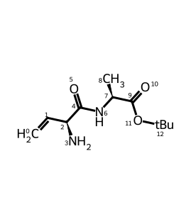 C=C[C@H](N)C(=O)N[C@@H](C)C(=O)OC(C)(C)C